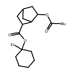 CCC(C)C(=O)OC1CC2CC(C(=O)OC3(CC)CCCCC3)C1C2